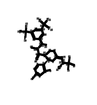 Cc1cc(F)ccc1[C@H]1CC(=N[S@+]([O-])C(C)(C)C)CCN1C(=O)N(C)[C@H](C)c1cc(C(F)(F)F)cc(C(F)(F)F)c1